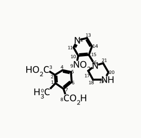 Cc1c(C(=O)O)cccc1C(=O)O.O=[N+]([O-])c1cnccc1N1CCNCC1